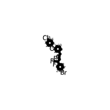 FC(F)(F)C(COCc1cccc(Oc2ccc(Cl)cc2)c1)c1ccc(Br)cc1